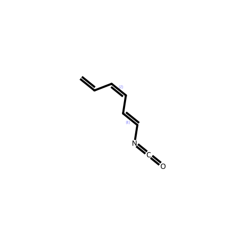 C=C/C=C\C=C\N=C=O